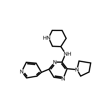 c1cc(-c2cnc(N3CCCC3)c(NC3CCCNC3)n2)ccn1